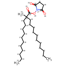 CCCCCCCCCCCC(C)(CCCCCCCCCCC)C(=O)ON1C(=O)CCC1=O